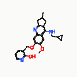 COc1cc2c(NCC3CC3)c3c(nc2cc1OCc1cccnc1O)CC(C)C3